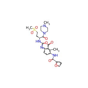 Cc1c(NC(=O)c2ccco2)ccc2nc(N[C@@H](CCS(C)(=O)=O)C(=O)N3CCN(C)CC3)oc(=O)c12